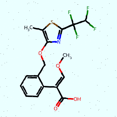 CO/C=C(/C(=O)O)c1ccccc1COc1nc(C(F)(F)C(F)F)sc1C